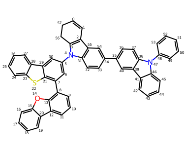 C1=Cc2c(n(-c3cc(-c4cccc5c4oc4ccccc45)c4sc5ccccc5c4c3)c3ccc(-c4ccc5c(c4)c4ccccc4n5-c4ccccc4)cc23)CC1